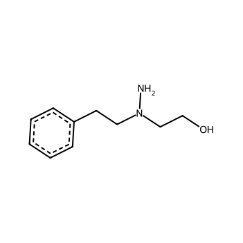 NN(CCO)CCc1ccccc1